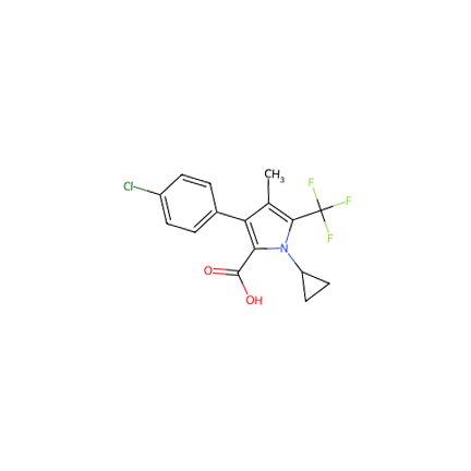 Cc1c(-c2ccc(Cl)cc2)c(C(=O)O)n(C2CC2)c1C(F)(F)F